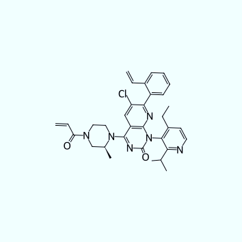 C=CC(=O)N1CCN(c2nc(=O)n(-c3c(CC)ccnc3C(C)C)c3nc(-c4ccccc4C=C)c(Cl)cc23)[C@@H](C)C1